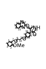 COc1ccccc1COCCCOc1ccc(N2C(=O)CNCC2COc2cnc3ccccc3n2)cc1